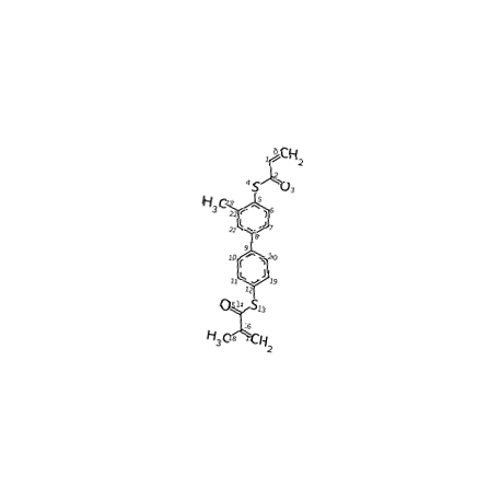 C=CC(=O)Sc1ccc(-c2ccc(SC(=O)C(=C)C)cc2)cc1C